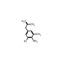 C=C(C)Cc1cc(C)c(N)c(CC)c1